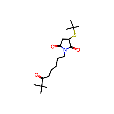 CC(C)(C)SC1CC(=O)N(CCCCCC(=O)C(C)(C)C)C1=O